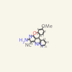 COc1ccc2c(c1)Oc1nc(N)c(C#N)c(N)c1C2c1ccccc1